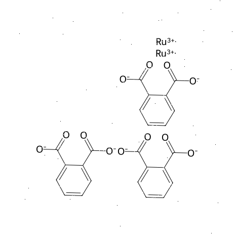 O=C([O-])c1ccccc1C(=O)[O-].O=C([O-])c1ccccc1C(=O)[O-].O=C([O-])c1ccccc1C(=O)[O-].[Ru+3].[Ru+3]